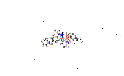 CN(C(=O)C[C@@]1(S(=O)(=O)c2cccc(C(F)(F)F)c2)CCCCN1)[C@@H]1CCOc2cc(CN3CCCCC3)ccc21